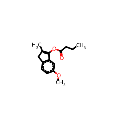 CCCC(=O)OC1=C(C)Cc2ccc(OC)cc21